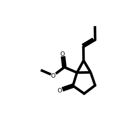 CC=CC1C2CCC(=O)C12C(=O)OC